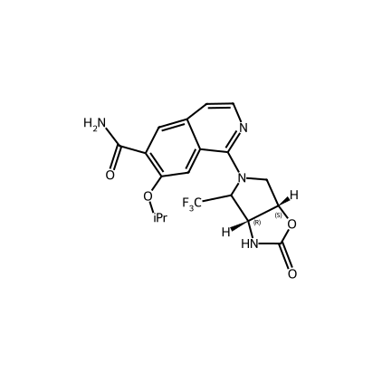 CC(C)Oc1cc2c(N3C[C@@H]4OC(=O)N[C@@H]4C3C(F)(F)F)nccc2cc1C(N)=O